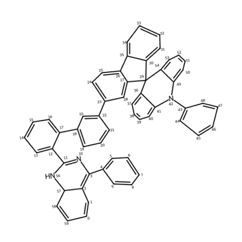 C1=CC2=C(c3ccccc3)N=C(c3ccccc3-c3cccc(-c4ccc5c(c4)C4(c6ccccc6-5)c5ccccc5N(c5ccccc5)c5ccccc54)c3)NC2C=C1